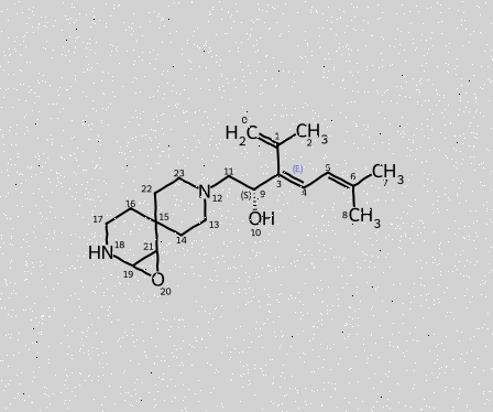 C=C(C)/C(=C\C=C(C)C)[C@H](O)CN1CCC2(CCNC3OC32)CC1